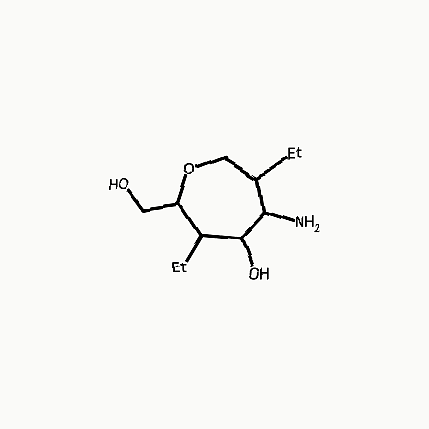 CCC1COC(CO)C(CC)C(O)C1N